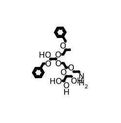 CC(COC(OCC(OCCN)OC(CO)C(O)O)C(O)OCc1ccccc1)OCc1ccccc1